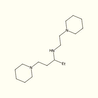 [CH2]CC(CCN1CCCCC1)NCCN1CCCCC1